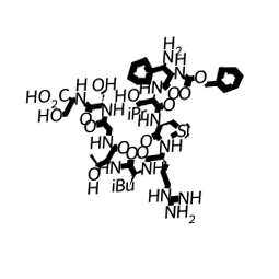 CC[C@H](C)[C@H](NC(=O)[C@@H](CCCNC(=N)N)NC(=O)[C@H](C[Si](C)(C)C)NC(=O)[C@@H](NC(=O)[C@@H](NC(=O)OCc1ccccc1)[C@H](N)c1ccccc1)[C@H](O)C(C)C)C(=O)N[C@H](C(=O)NCC(=O)N[C@@H](CO)C(=O)N[C@@H](CO)C(=O)O)[C@H](C)O